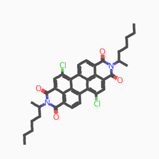 CCCCCC(C)N1C(=O)c2ccc3c4c(Cl)cc5c6c(ccc(c7c(Cl)cc(c2c37)C1=O)c64)C(=O)N(C(C)CCCCC)C5=O